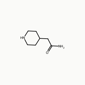 NC(=O)[CH]C1CCNCC1